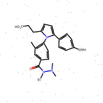 CCN(C(=O)c1ccc(-n2c(CCC(=O)O)ccc2-c2ccc(OC)cc2)c(C)c1)N(C)C